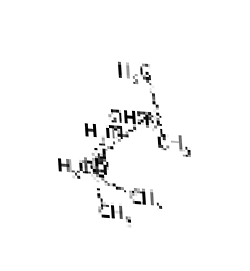 CCCCCCCCC(CCCCCC)CC(=O)OCCCCCC(CCCCCOC(=O)CN(C)C(=O)CC(CCCCCC)CCCCCCCC)N(C)CCO